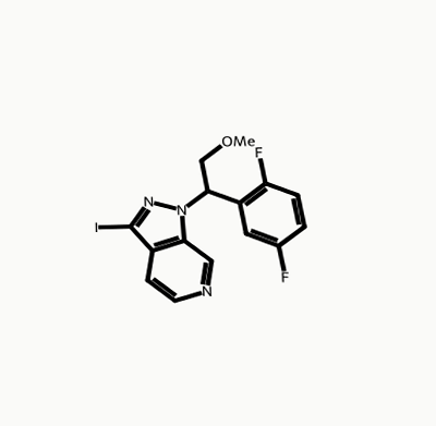 COCC(c1cc(F)ccc1F)n1nc(I)c2ccncc21